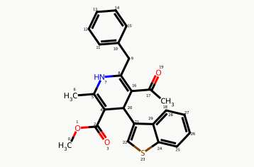 COC(=O)C1=C(C)NC(Cc2ccccc2)=C(C(C)=O)C1c1csc2ccccc12